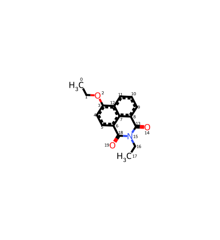 CCOc1ccc2c3c(cccc13)C(=O)N(CC)C2=O